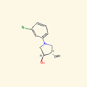 CO[C@H]1CN(c2cccc(Br)c2)C[C@@H]1O